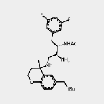 CC(=O)N[C@@H](Cc1cc(F)cc(F)c1)[C@@H](N)CNC1(C)CCOc2ccc(CC(C)(C)C)cc21